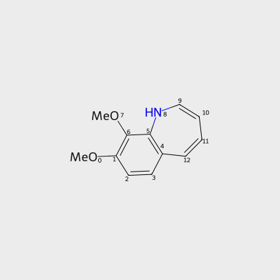 COc1ccc2c(c1OC)NC=CC=C2